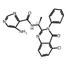 C[C@H](NC(=O)c1ncncc1N)c1nc2cccc(Cl)c2c(=O)n1-c1ccccc1